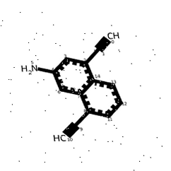 C#Cc1cc(N)cc2c(C#C)cccc12